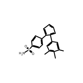 Cc1cc(-c2ccccc2-c2ccc(S(N)(=O)=O)cc2)cc(C)c1C